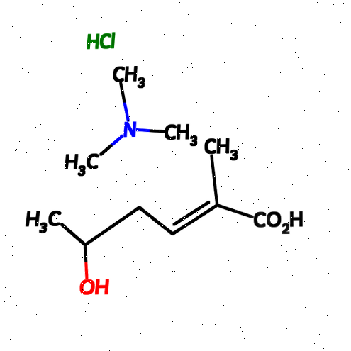 CC(=CCC(C)O)C(=O)O.CN(C)C.Cl